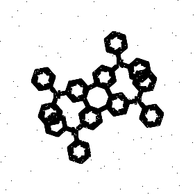 C1=CCC(N(c2ccccc2)c2ccc3c(c2)-c2cc(N(c4ccccc4)c4ccccc4)ccc2-c2ccc(N(c4ccccc4)c4ccccc4)cc2-c2cc(N(c4ccccc4)c4ccccc4)ccc2-3)C=C1